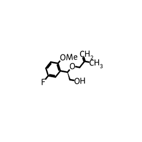 C=C(C)CO[C@@H](CO)c1cc(F)ccc1OC